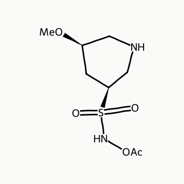 CO[C@H]1CNC[C@@H](S(=O)(=O)NOC(C)=O)C1